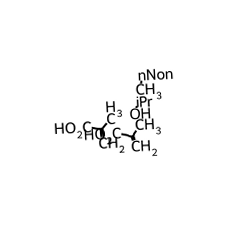 C=C(C)C(=O)O.C=C(C)C(=O)O.CC(C)O.CCCCCCCCCC